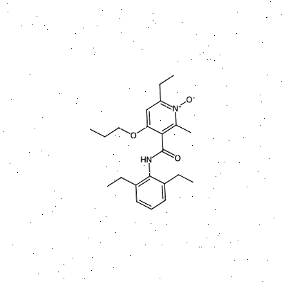 CCCOc1cc(CC)[n+]([O-])c(C)c1C(=O)Nc1c(CC)cccc1CC